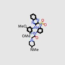 CNC1CCN(CC(=O)Nc2cccc(N(c3nc4ccccc4nc3Nc3cc(OC)cc(OC)c3)[SH](=O)=O)c2)CC1